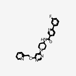 O=C(NC1CCN(c2cc(OCc3ccccn3)ncn2)CC1)c1ccc(-c2cccc(F)c2)nc1